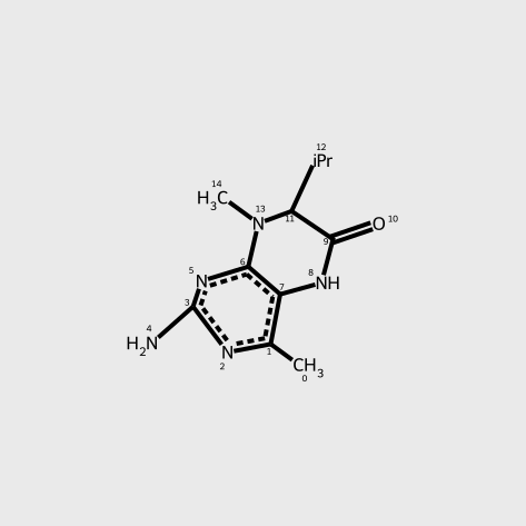 Cc1nc(N)nc2c1NC(=O)C(C(C)C)N2C